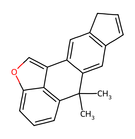 CC1(C)c2cc3c(cc2-c2coc4cccc1c24)CC=C3